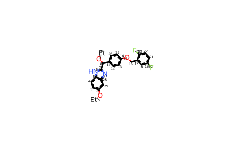 CCOc1ccc2[nH]c(C(OCC)c3ccc(OCc4cc(F)ccc4F)cc3)nc2c1